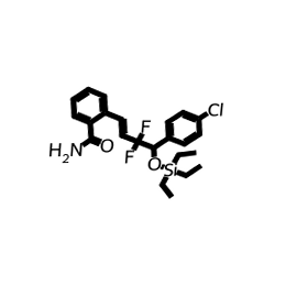 CC[Si](CC)(CC)OC(c1ccc(Cl)cc1)C(F)(F)C=Cc1ccccc1C(N)=O